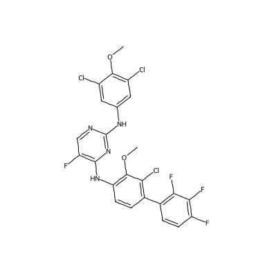 COc1c(Cl)cc(Nc2ncc(F)c(Nc3ccc(-c4ccc(F)c(F)c4F)c(Cl)c3OC)n2)cc1Cl